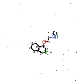 CCNCCOc1cccc2c1CCCC2.Cl